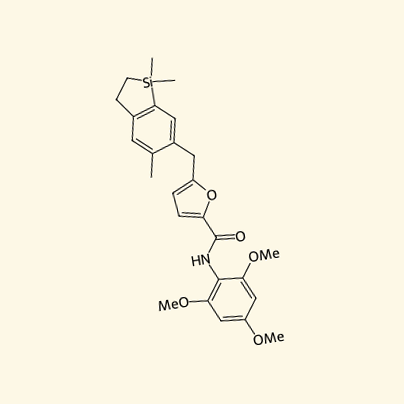 COc1cc(OC)c(NC(=O)c2ccc(Cc3cc4c(cc3C)CC[Si]4(C)C)o2)c(OC)c1